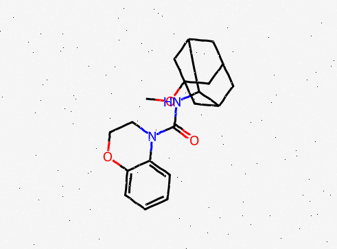 COC12CC3CC(C1)C(NC(=O)N1CCOc4ccccc41)C(C3)C2